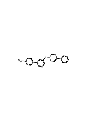 Cc1ccc(-c2cncc(CN3CC=C(c4ccccc4)CC3)c2)cc1